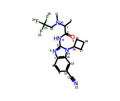 CC(C(=O)Nc1nc2ccc(C#N)cc2n1C1CCC1)N(C)CC(F)(F)F